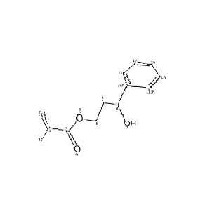 C=C(C)C(=O)OCCC(O)c1ccccc1